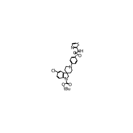 CC(C)(C)OC(=O)N1CC2(CCN(c3ccc(S(=O)(=O)Nc4nccs4)cc3)CC2)c2cc(Cl)ccc21